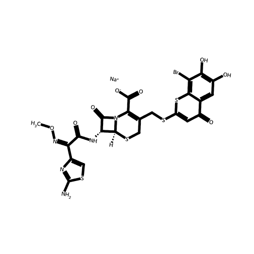 CO/N=C(\C(=O)N[C@@H]1C(=O)N2C(C(=O)[O-])=C(CSc3cc(=O)c4cc(O)c(O)c(Br)c4s3)CS[C@@H]12)c1csc(N)n1.[Na+]